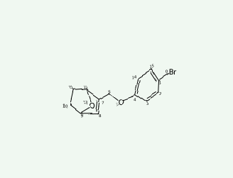 Brc1ccc(OCC2=CC3CCC2O3)cc1